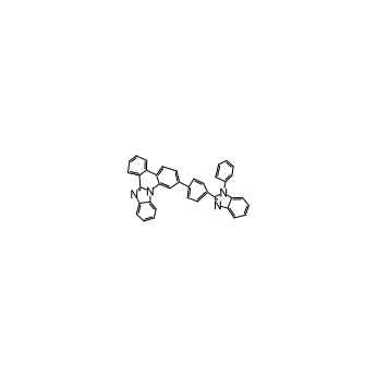 c1ccc(-n2c(-c3ccc(-c4ccc5c6ccccc6c6nc7ccccc7n6c5c4)cc3)nc3ccccc32)cc1